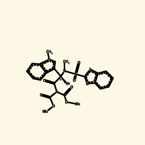 CC(C)[C@@](C(=O)N(C(=O)OC(C)(C)C)C(=O)OC(C)(C)C)(c1cn(C)c2ccccc12)N(C)S(=O)(=O)c1nc2ccccc2s1